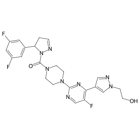 O=C(N1CCN(c2ncc(F)c(-c3cnn(CCO)c3)n2)CC1)N1N=CCC1c1cc(F)cc(F)c1